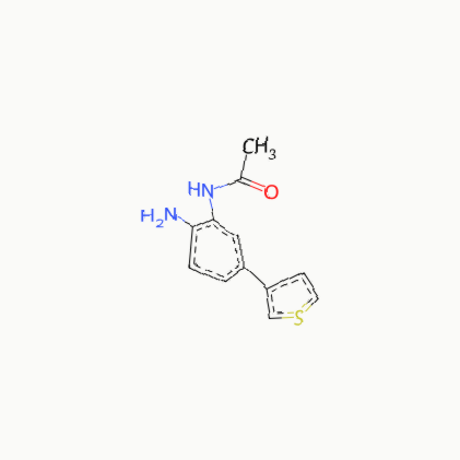 CC(=O)Nc1cc(-c2ccsc2)ccc1N